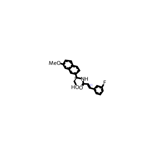 COc1ccc2ccc([C@H](CO)NC(=O)/C=C/c3cccc(F)c3)cc2c1